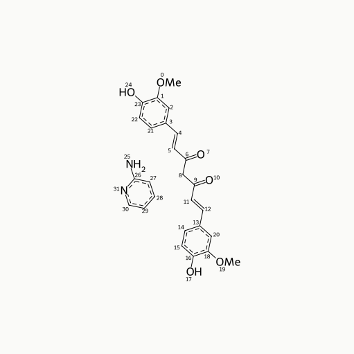 COc1cc(/C=C/C(=O)CC(=O)/C=C/c2ccc(O)c(OC)c2)ccc1O.Nc1ccccn1